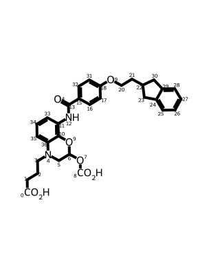 O=C(O)CCCN1CC(OC(=O)O)Oc2c(NC(=O)c3ccc(OCCC4Cc5ccccc5C4)cc3)cccc21